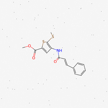 COC(=O)c1cc(NC(=O)/C=C/c2ccccc2)c(SC)s1